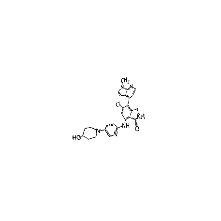 Cn1ccc2c(-c3c(Cl)cc(Nc4ccc(N5CCC(O)CC5)cn4)c4c3CNC4=O)ccnc21